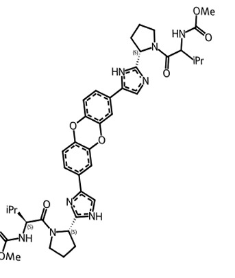 COC(=O)NC(C(=O)N1CCC[C@H]1c1ncc(-c2ccc3c(c2)Oc2cc(-c4c[nH]c([C@@H]5CCCN5C(=O)[C@@H](NC(=O)OC)C(C)C)n4)ccc2O3)[nH]1)C(C)C